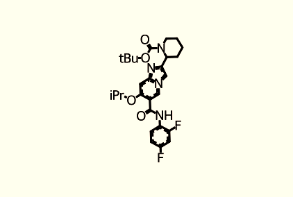 CC(C)Oc1cc2nc(C3CCCCN3C(=O)OC(C)(C)C)cn2cc1C(=O)Nc1ccc(F)cc1F